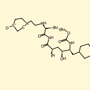 CC[C@H](C)[C@H](NCCN1CC[S+]([O-])CC1)C(=O)NC(=O)[C@@H](C[C@H](O)[C@H](CC1CCCCC1)NC(=O)OC(C)(C)C)C(C)C